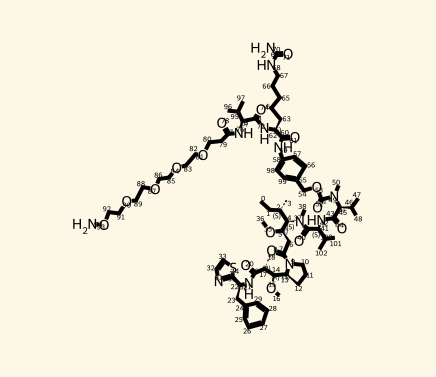 CC[C@H](C)[C@@H]([C@@H](CC(=O)N1CCC[C@H]1[C@H](OC)[C@@H](C)C(=O)N[C@@H](Cc1ccccc1)c1nccs1)OC)N(C)C(=O)[C@@H](NC(=O)[C@H](C(C)C)N(C)C(=O)OCc1ccc(NC(=O)[C@H](CCCCCNC(N)=O)NC(=O)[C@@H](NC(=O)CCOCCOCCOCCOCCON)C(C)C)cc1)C(C)C